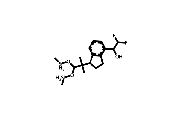 C[SiH2]OC(O[SiH2]C)C(C)(C)C1CCc2c(C(O)C(F)F)cccc21